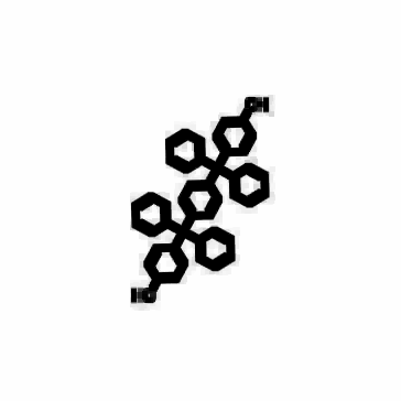 Oc1ccc(C(c2ccccc2)(c2ccccc2)c2ccc(C(c3ccccc3)(c3ccccc3)c3ccc(O)cc3)cc2)cc1